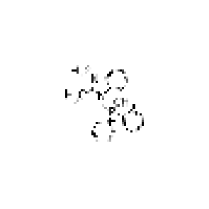 C[C@H]1N(C)c2ccccc2N1C[PH](C)(c1ccccc1)c1ccccc1